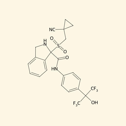 N#CC1(CS(=O)(=O)C2(C(=O)Nc3ccc(C(O)(C(F)(F)F)C(F)(F)F)cc3)NCc3ccccc32)CC1